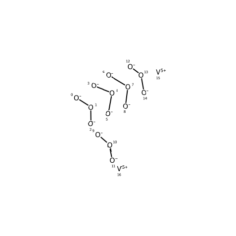 [O-]O[O-].[O-]O[O-].[O-]O[O-].[O-]O[O-].[O-]O[O-].[V+5].[V+5]